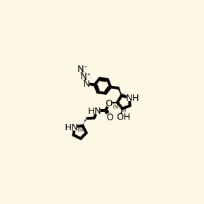 [N-]=[N+]=Nc1ccc(C[C@H]2NC[C@H](O)[C@H]2OC(=O)NCC[C@@H]2CCCN2)cc1